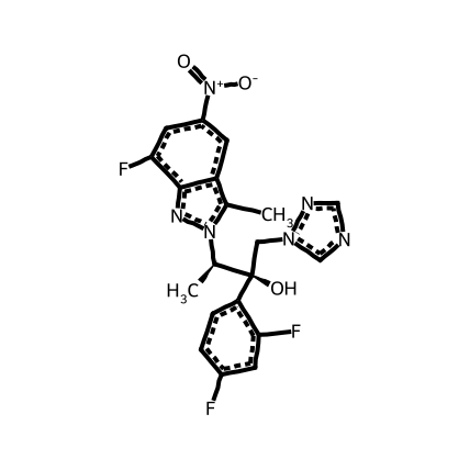 Cc1c2cc([N+](=O)[O-])cc(F)c2nn1[C@H](C)[C@](O)(Cn1cncn1)c1ccc(F)cc1F